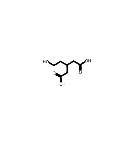 O=C(O)CC(CCO)CC(=O)O